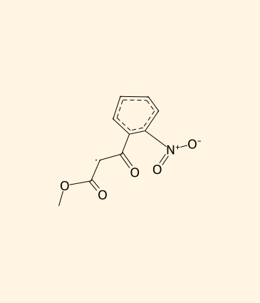 COC(=O)[CH]C(=O)c1ccccc1[N+](=O)[O-]